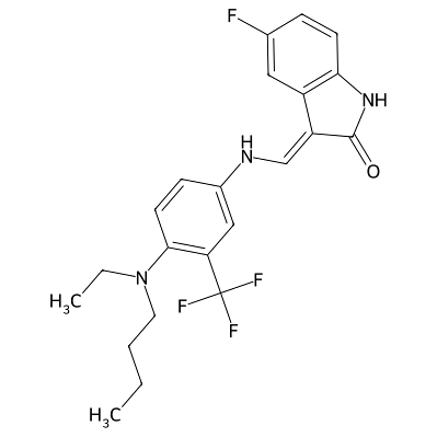 CCCCN(CC)c1ccc(N/C=C2/C(=O)Nc3ccc(F)cc32)cc1C(F)(F)F